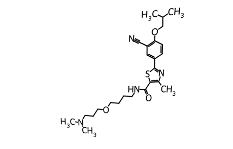 Cc1nc(-c2ccc(OCC(C)C)c(C#N)c2)sc1C(=O)NCCCCOCCCN(C)C